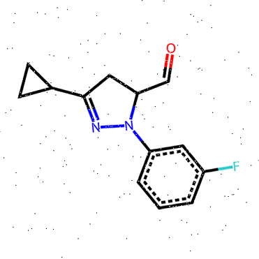 O=CC1CC(C2CC2)=NN1c1cccc(F)c1